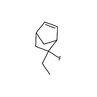 CCC1(F)CC2C=CC1C2